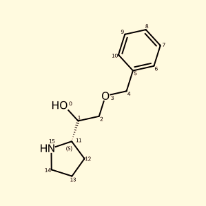 OC(COCc1ccccc1)[C@@H]1CCCN1